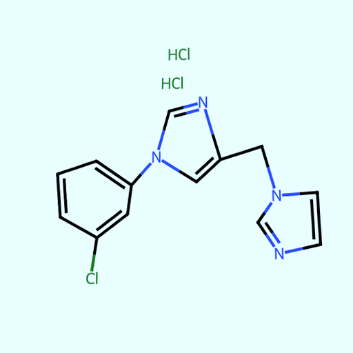 Cl.Cl.Clc1cccc(-n2cnc(Cn3ccnc3)c2)c1